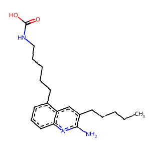 CCCCCc1cc2c(CCCCCNC(=O)O)cccc2nc1N